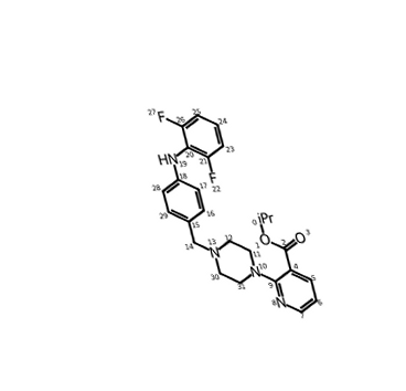 CC(C)OC(=O)c1cccnc1N1CCN(Cc2ccc(Nc3c(F)cccc3F)cc2)CC1